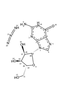 Nc1nc2c(ncn2[C@@H]2O[C@H](CO)[C@@H](O)[C@H]2O)c(=O)[nH]1.[N-]=[N+]=N